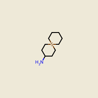 NC1CCS2(CCCCC2)CC1